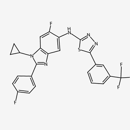 Fc1ccc(-c2nc3cc(Nc4nnc(-c5cccc(C(F)(F)F)c5)s4)c(F)cc3n2C2CC2)cc1